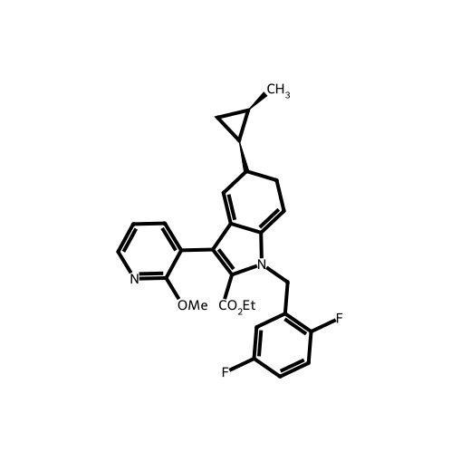 CCOC(=O)c1c(-c2cccnc2OC)c2c(n1Cc1cc(F)ccc1F)=CCC([C@H]1C[C@H]1C)C=2